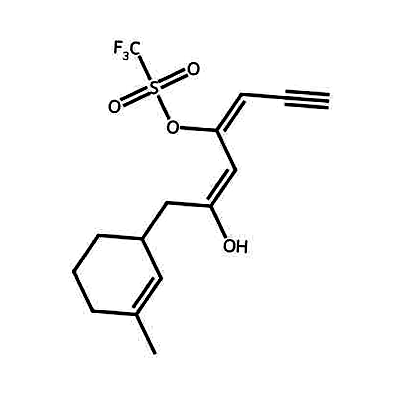 C#C/C=C(\C=C(\O)CC1C=C(C)CCC1)OS(=O)(=O)C(F)(F)F